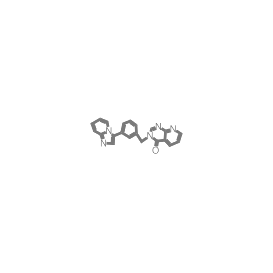 O=c1c2cccnc2ncn1Cc1cccc(-c2cnc3ccccn23)c1